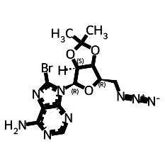 CC1(C)OC2[C@@H](CN=[N+]=[N-])O[C@@H](n3c(Br)nc4c(N)ncnc43)[C@H]2O1